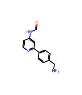 NCc1ccc(-c2cc(NC=O)ccn2)cc1